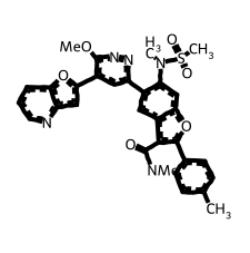 CNC(=O)c1c(-c2ccc(C)cc2)oc2cc(N(C)S(C)(=O)=O)c(-c3cc(-c4cc5ncccc5o4)c(OC)nn3)cc12